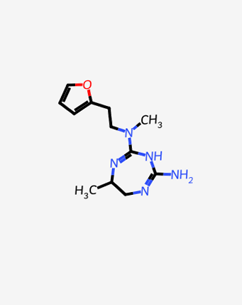 CC1CN=C(N)NC(N(C)CCc2ccco2)=N1